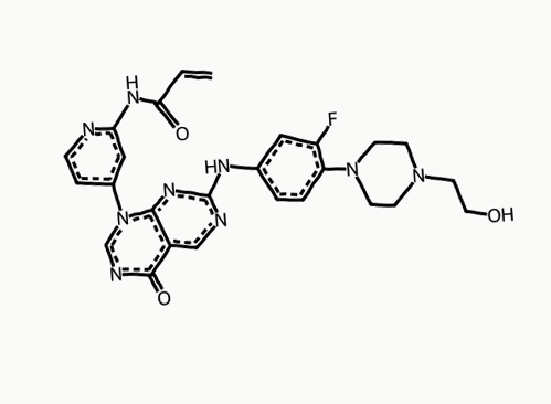 C=CC(=O)Nc1cc(-n2cnc(=O)c3cnc(Nc4ccc(N5CCN(CCO)CC5)c(F)c4)nc32)ccn1